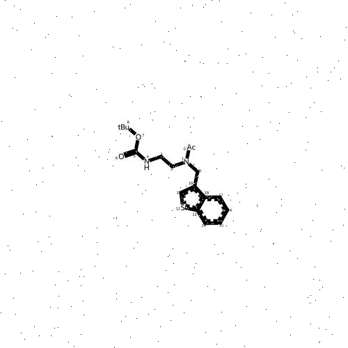 CC(=O)N(CCNC(=O)OC(C)(C)C)Cc1csc2ccccc12